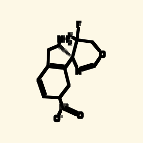 NC1CC2=C(CC([N+](=O)[O-])C=C2)[C@@]12N=COCC2(F)F